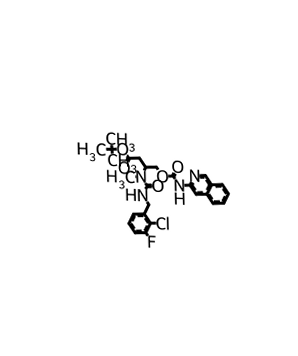 CN(C(=O)NCc1cccc(F)c1Cl)C(COC(=O)Nc1cc2ccccc2cn1)CC(=O)OC(C)(C)C